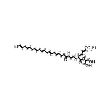 CCC=CCC=CCC=CCC=CCC=CCC=CCCC(=O)NCCC[C@H](NC(=O)C=CC(=O)OCC)C(=O)OC(CO)CO